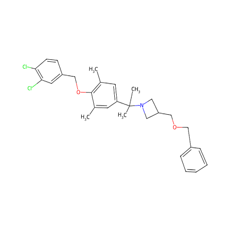 Cc1cc(C(C)(C)N2CC(COCc3ccccc3)C2)cc(C)c1OCc1ccc(Cl)c(Cl)c1